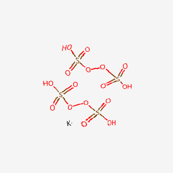 O=S(=O)(O)OOS(=O)(=O)O.O=S(=O)(O)OOS(=O)(=O)O.[K]